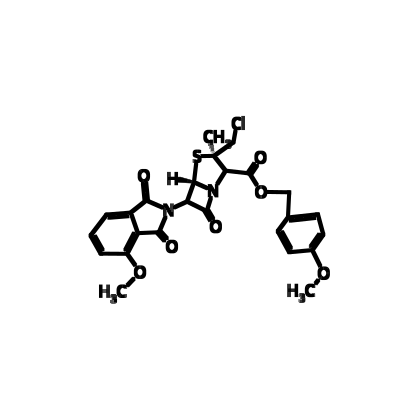 COc1ccc(COC(=O)C2N3C(=O)C(N4C(=O)c5cccc(OC)c5C4=O)[C@@H]3S[C@@]2(C)CCl)cc1